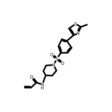 C=CC(=O)NC1CCN(S(=O)(=O)c2ccc(-c3csc(C)n3)cc2)CC1